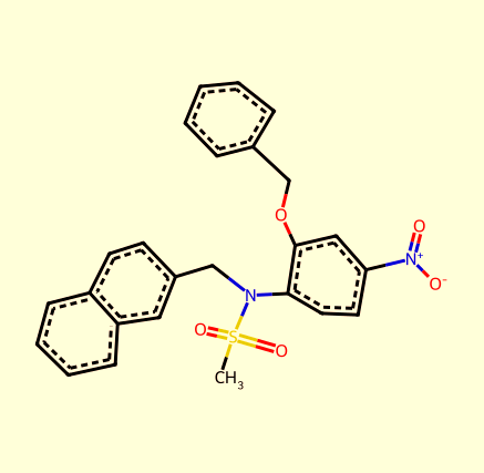 CS(=O)(=O)N(Cc1ccc2ccccc2c1)c1ccc([N+](=O)[O-])cc1OCc1ccccc1